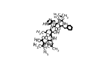 CC(C)C[C@H](NCC(O)[C@H](CC(C)C)NC(=O)[C@H](Cc1c[nH]cn1)NC(=O)[C@H](Cc1ccccc1)NC(=O)OC(C)(C)C)C(=O)N[C@H](C(=O)O)C(C)C